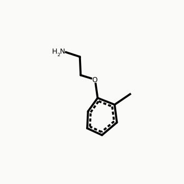 Cc1ccccc1OCCN